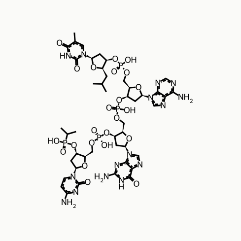 Cc1cn([C@H]2C[C@@H](OP(=O)(O)OC[C@H]3O[C@@H](n4cnc5c(N)ncnc54)C[C@H]3OP(=O)(O)OC[C@H]3O[C@@H](n4cnc5c(=O)[nH]c(N)nc54)C[C@H]3OP(=O)(O)OC[C@H]3O[C@@H](n4ccc(N)nc4=O)C[C@H]3OP(=O)(O)C(C)C)[C@@H](CC(C)C)O2)c(=O)[nH]c1=O